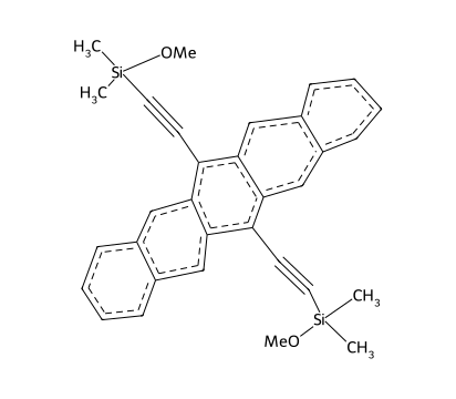 CO[Si](C)(C)C#Cc1c2cc3ccccc3cc2c(C#C[Si](C)(C)OC)c2cc3ccccc3cc12